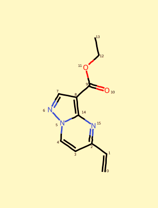 C=Cc1ccn2ncc(C(=O)OCC)c2n1